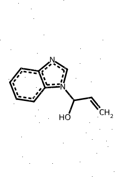 C=CC(O)n1cnc2ccccc21